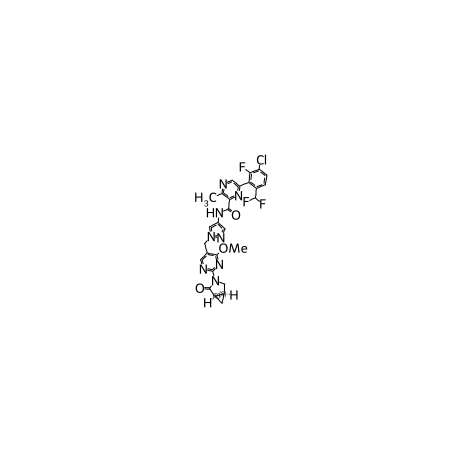 COc1nc(N2C[C@H]3C[C@H]3C2=O)ncc1Cn1cc(NC(=O)c2nc(-c3c(C(F)F)ccc(Cl)c3F)cnc2C)cn1